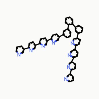 c1cncc(-c2ccc(-c3ccc(-c4ccc(-c5cccc(-c6ccccc6-c6cccc(-c7ccc(-c8ccc(-c9ccc(-c%10cccnc%10)nc9)nc8)nc7)c6)c5)cn4)cn3)cn2)c1